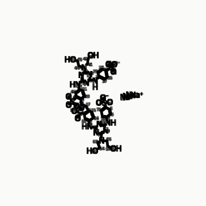 O=S(=O)([O-])c1ccc(Nc2nc(Nc3ccc(/C=C/c4ccc(Nc5nc(Nc6ccc(S(=O)(=O)[O-])cc6)nc(N(CCO)CCO)n5)cc4S(=O)(=O)[O-])c(S(=O)(=O)[O-])c3)nc(N(CCO)CCO)n2)cc1.[Na+].[Na+].[Na+].[Na+]